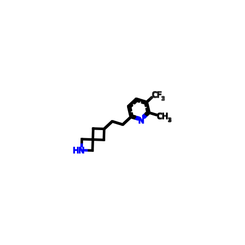 Cc1nc(CCC2CC3(CNC3)C2)ccc1C(F)(F)F